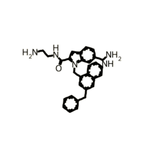 N=C(N)c1ccc2cc(C(=O)NCCN)n(Cc3cc(Cc4ccccc4)cc4ccccc34)c2c1